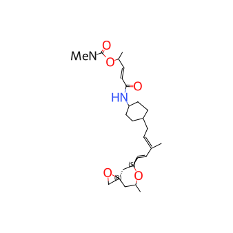 CNC(=O)OC(C)C=CC(=O)NC1CCC(CC=C(C)C=C[C@@H]2C[C@@]3(CO3)CC(C)O2)CC1